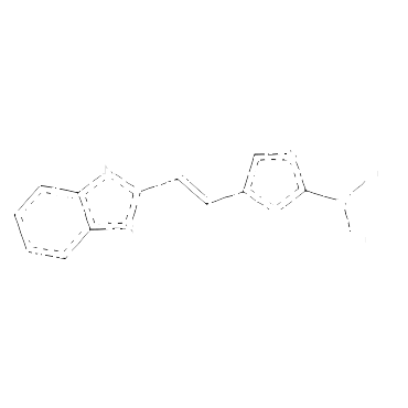 CN(C)c1ncc(C=Cc2nc3ccccc3[nH]2)s1